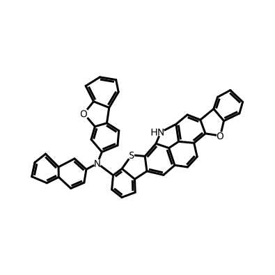 c1ccc2cc(N(c3ccc4c(c3)oc3ccccc34)c3cccc4c3sc3c4cc4ccc5c6oc7ccccc7c6cc6[nH]c3c4c65)ccc2c1